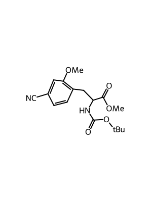 COC(=O)C(Cc1ccc(C#N)cc1OC)NC(=O)OC(C)(C)C